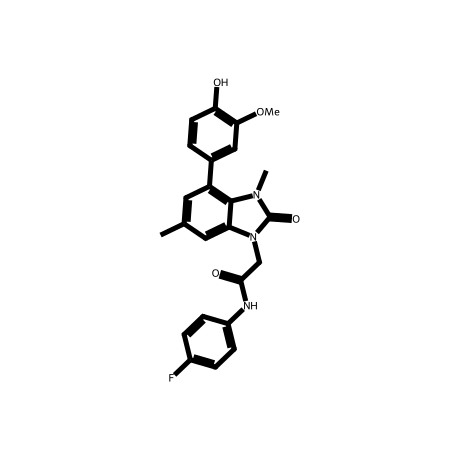 COc1cc(-c2cc(C)cc3c2n(C)c(=O)n3CC(=O)Nc2ccc(F)cc2)ccc1O